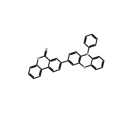 O=c1oc2ccccc2c2ccc(-c3ccc4c(c3)Sc3ccccc3N4c3ccccc3)cc12